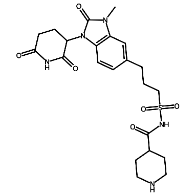 Cn1c(=O)n(C2CCC(=O)NC2=O)c2ccc(CCCS(=O)(=O)NC(=O)C3CCNCC3)cc21